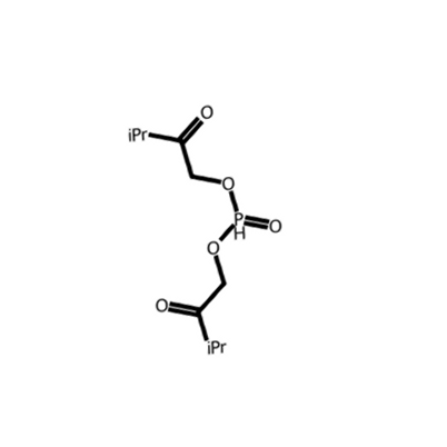 CC(C)C(=O)CO[PH](=O)OCC(=O)C(C)C